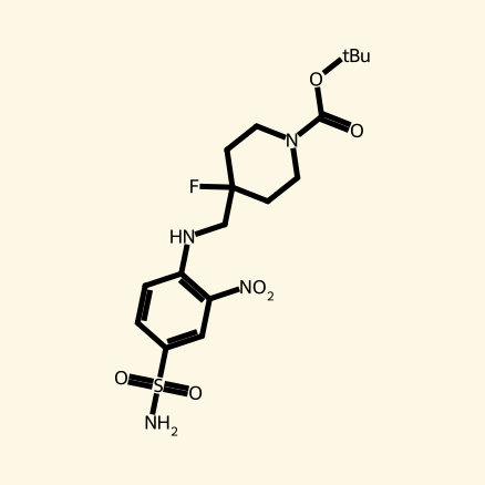 CC(C)(C)OC(=O)N1CCC(F)(CNc2ccc(S(N)(=O)=O)cc2[N+](=O)[O-])CC1